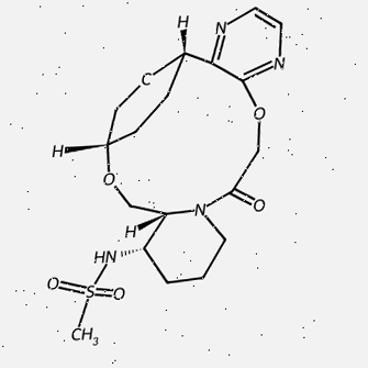 CS(=O)(=O)N[C@H]1CCCN2C(=O)COc3nccnc3[C@H]3CC[C@H](CC3)OC[C@@H]12